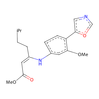 COC(=O)/C=C(/CCC(C)C)Nc1ccc(-c2cnco2)c(OC)c1